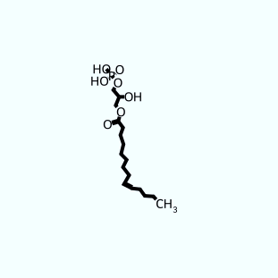 CCCC/C=C\CCCCCCCC(=O)OCC(O)COP(=O)(O)O